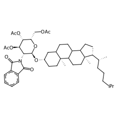 CC(=O)OC[C@@H]1O[C@@H](O[C@H]2CC[C@@]3(C)C(CCC4C3CC[C@@]3(C)C4CC[C@@H]3[C@H](C)CCCC(C)C)C2)[C@H](N2C(=O)c3ccccc3C2=O)[C@@H](OC(C)=O)[C@@H]1OC(C)=O